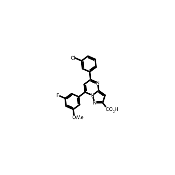 COc1cc(F)cc(-c2cc(-c3cccc(Cl)c3)nc3cc(C(=O)O)nn23)c1